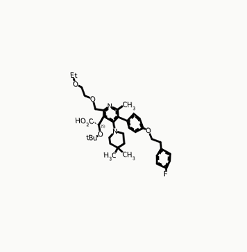 CCOCCOCc1nc(C)c(-c2ccc(OCCc3ccc(F)cc3)cc2)c(N2CCC(C)(C)CC2)c1[C@H](OC(C)(C)C)C(=O)O